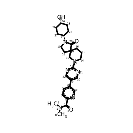 CN(C)C(=O)c1ccc(-c2cnc(N3CCCC4(CCN([C@H]5CC[C@@H](O)CC5)C4=O)C3)nc2)cn1